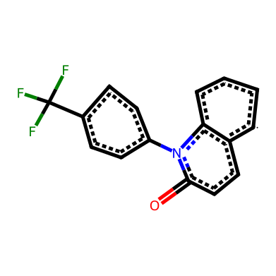 O=c1ccc2[c]cccc2n1-c1ccc(C(F)(F)F)cc1